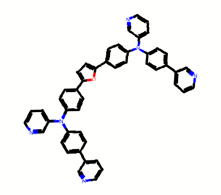 c1cncc(-c2ccc(N(c3ccc(-c4ccc(-c5ccc(N(c6ccc(-c7cccnc7)cc6)c6cccnc6)cc5)o4)cc3)c3cccnc3)cc2)c1